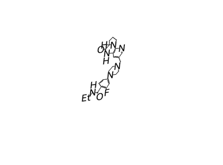 CCNC(=O)c1ccc(N2CCN(Cc3cnc4c(c3)NC(=O)[C@@H]3CCCN43)CC2)cc1F